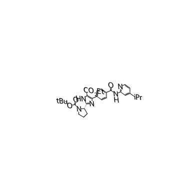 CCOC(=O)c1[nH]c([C@@H]2CCCN2C(=O)OC(C)(C)C)nc1-c1ccc(C(=O)Nc2cc(C(C)C)ccn2)cc1